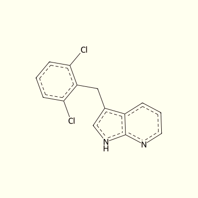 Clc1cccc(Cl)c1Cc1c[nH]c2ncccc12